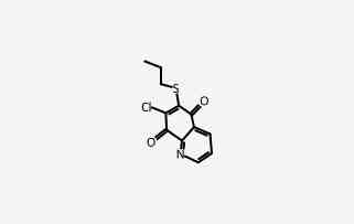 CCCSC1=C(Cl)C(=O)c2ncccc2C1=O